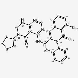 C[C@H](Nc1ncnc2c1C(=O)N(C1CCCC1)CN2)c1cc2cccc(Cl)c2c(=O)n1C1=C=C=CC=C1